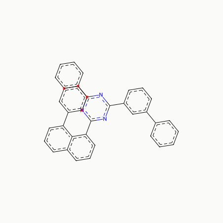 c1ccc(-c2cccc(-c3nc(-c4ccccc4)nc(-c4cccc5cccc(-c6ccccc6)c45)n3)c2)cc1